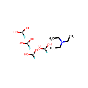 CCN(CC)CC.OB(O)F.OB(O)F.OB(O)F.OB(O)F